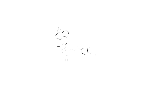 CC12OC(CCOc3ccc(C#N)c(F)c3F)(CC1O)C1C(=O)N(c3ccc(C#N)c4ccccc34)C(=O)C12